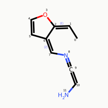 C/C=c1/occ/c1=C/N=C=CN